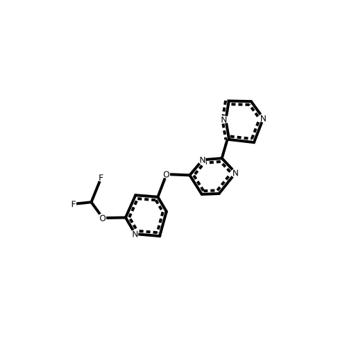 FC(F)Oc1cc(Oc2ccnc(-c3cnccn3)n2)ccn1